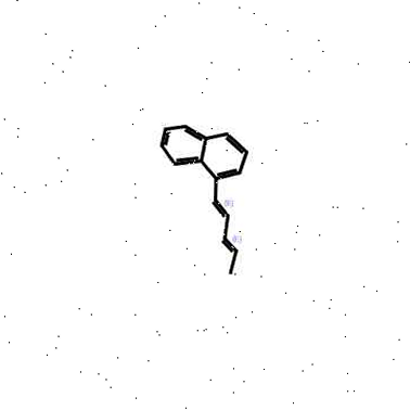 [CH2]/C=C/C=C/c1cccc2ccccc12